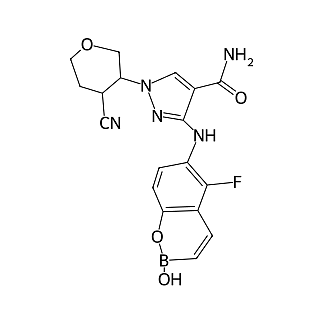 N#CC1CCOCC1n1cc(C(N)=O)c(Nc2ccc3c(c2F)C=CB(O)O3)n1